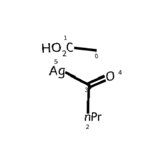 CC(=O)O.CCC[C](=O)[Ag]